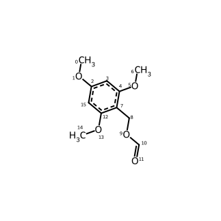 COc1cc(OC)c(COC=O)c(OC)c1